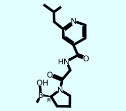 CB(O)[C@@H]1CCCN1C(=O)CNC(=O)c1ccnc(CC(C)C)c1